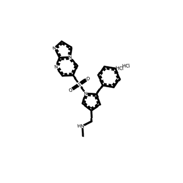 CNCc1cc(-c2ccccc2)n(S(=O)(=O)c2cnc3nccn3c2)c1.Cl.Cl